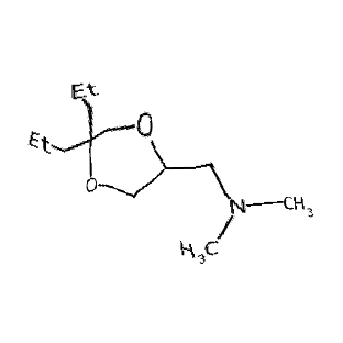 CCC1(CC)OCC(CN(C)C)O1